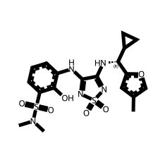 Cc1coc([C@H](NC2=NS(=O)(=O)N=C2Nc2cccc(S(=O)(=O)N(C)C)c2O)C2CC2)c1